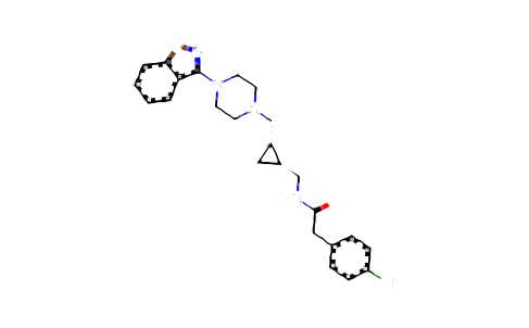 O=C(Cc1ccc(Cl)cc1)NC[C@H]1C[C@@H]1CN1CCN(c2nsc3ccccc23)CC1